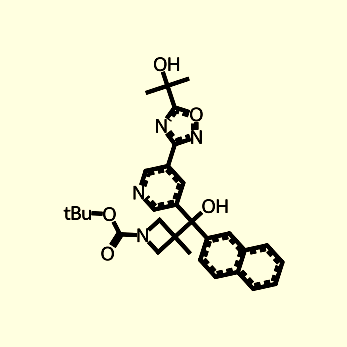 CC(C)(C)OC(=O)N1CC(C)(C(O)(c2cncc(-c3noc(C(C)(C)O)n3)c2)c2ccc3ccccc3c2)C1